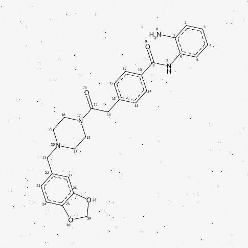 Nc1ccccc1NC(=O)c1ccc(CC(=O)N2CCN(Cc3ccc4c(c3)OCO4)CC2)cc1